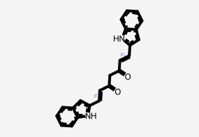 O=C(/C=C/c1cc2ccccc2[nH]1)CC(=O)/C=C/c1cc2ccccc2[nH]1